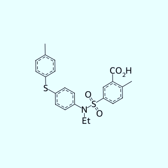 CCN(c1ccc(Sc2ccc(C)cc2)cc1)S(=O)(=O)c1ccc(C)c(C(=O)O)c1